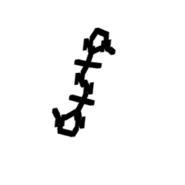 CN1CCN=C1C(C)(C)N=NC(C)(C)C1=NCCN1C